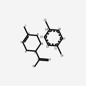 C=C(C)C1CC=C(C)CC1.Cc1ccc(C)cc1